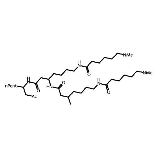 CCCCCC(CC(C)=O)NC(=O)CC(CCCCNC(=O)CCCCCNC)NC(=O)CC(C)CCCCNC(=O)CCCCCNC